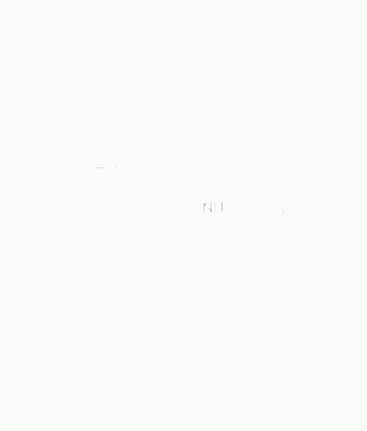 O=C(O)C(Nc1ccccc1Cl)c1ccccc1